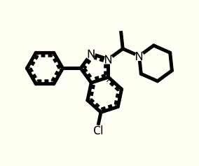 CC(N1CCCCC1)n1nc(-c2ccccc2)c2cc(Cl)ccc21